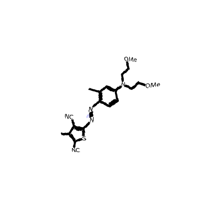 [C-]#[N+]c1sc(/N=N/c2ccc(N(CCOC)CCOC)cc2C)c(C#N)c1C